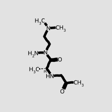 CC(=O)CN[C@H](C)C(=O)N(N)CCN(C)C